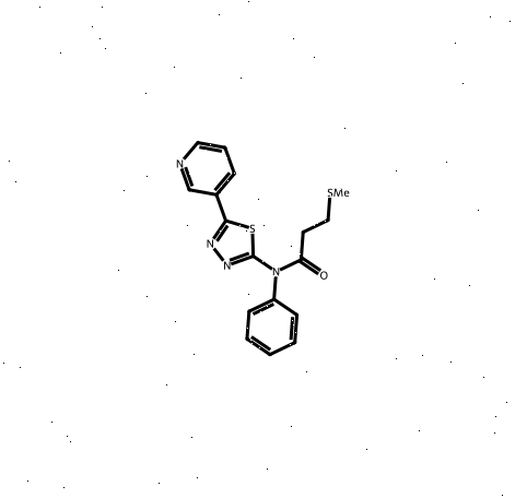 CSCCC(=O)N(c1ccccc1)c1nnc(-c2cccnc2)s1